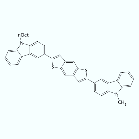 CCCCCCCCn1c2ccccc2c2cc(-c3cc4cc5sc(-c6ccc7c(c6)c6ccccc6n7C)cc5cc4s3)ccc21